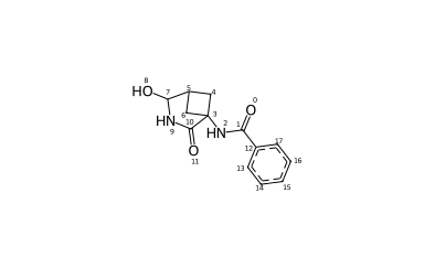 O=C(NC12CC(C1)C(O)NC2=O)c1ccccc1